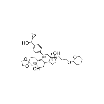 C[C@]12C[C@H](c3ccc(C(O)C4CC4)cc3)C3=C4CCC5(C[C@]4(O)CCC3C1CC[C@@]2(O)CCCOC1CCCCO1)OCCO5